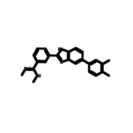 C/N=C(\NC)c1cccc(-c2nc3cc(-c4ccc(C)c(C)c4)ccc3[nH]2)c1